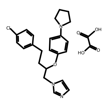 Clc1ccc(CCC(Cn2ccnc2)Oc2ccc(N3CCCC3)cc2)cc1.O=C(O)C(=O)O